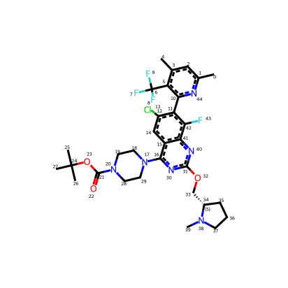 Cc1cc(C)c(C(F)(F)F)c(-c2c(Cl)cc3c(N4CCN(C(=O)OC(C)(C)C)CC4)nc(OC[C@@H]4CCCN4C)nc3c2F)n1